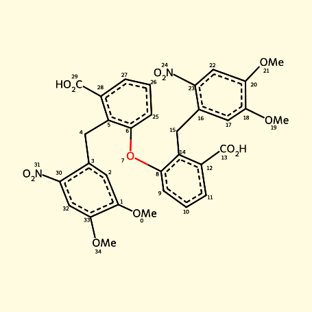 COc1cc(Cc2c(Oc3cccc(C(=O)O)c3Cc3cc(OC)c(OC)cc3[N+](=O)[O-])cccc2C(=O)O)c([N+](=O)[O-])cc1OC